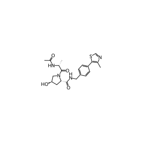 CC(=O)N[C@H](C)C(=O)N1C[C@H](O)C[C@H]1C(=O)NCc1ccc(-c2scnc2C)cc1